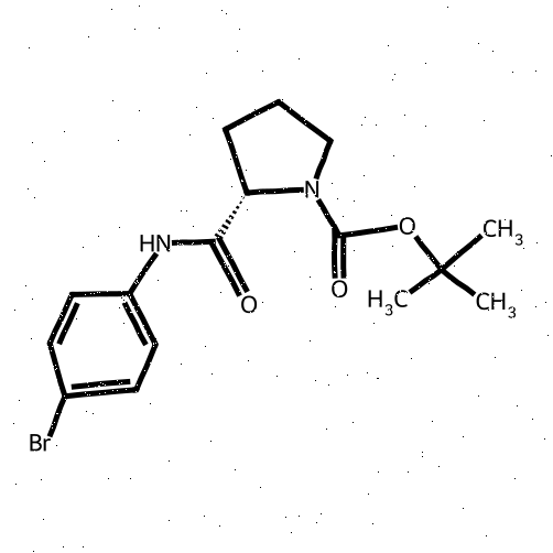 CC(C)(C)OC(=O)N1CCC[C@H]1C(=O)Nc1ccc(Br)cc1